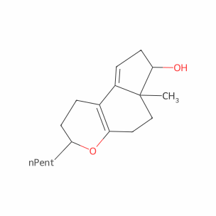 CCCCCC1CCC2=C(CCC3(C)C2=CCC3O)O1